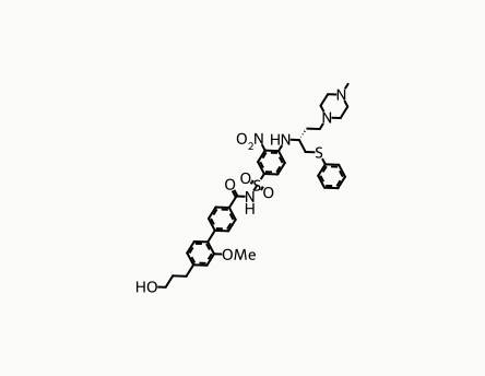 COc1cc(CCCO)ccc1-c1ccc(C(=O)NS(=O)(=O)c2ccc(N[C@H](CCN3CCN(C)CC3)CSc3ccccc3)c([N+](=O)[O-])c2)cc1